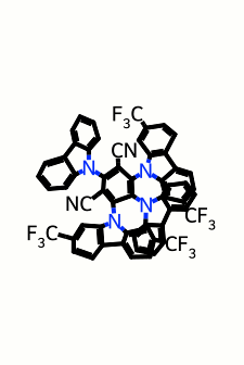 N#Cc1c(-n2c3ccccc3c3ccccc32)c(C#N)c(-n2c3cc(C(F)(F)F)ccc3c3ccc(C(F)(F)F)cc32)c(-n2c3ccccc3c3ccccc32)c1-n1c2cc(C(F)(F)F)ccc2c2ccc(C(F)(F)F)cc21